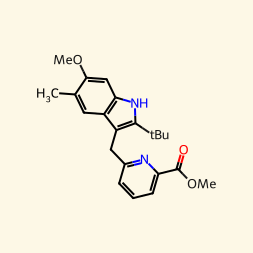 COC(=O)c1cccc(Cc2c(C(C)(C)C)[nH]c3cc(OC)c(C)cc23)n1